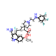 COc1ccc2ncc(CN)c([C@@H](F)CCC3(CC(=O)O)CCN(CCNc4cc(F)c(F)c(F)c4)CC3)c2c1